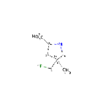 C[C@@]1(CF)CNC(C(=O)O)C1